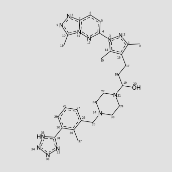 Cc1nn(-c2ccc3nnc(C)n3n2)c(C)c1CCC(O)N1CCN(Cc2cccc(-c3nnn[nH]3)c2C)CC1